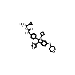 CC(OC(=O)Nc1ccc(-c2c(-c3cocn3)c3ccc(OC4CCOCC4)cc3n2C2CCC2)cc1)C1CC1